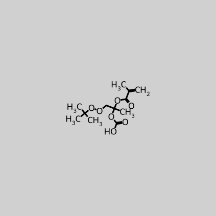 C=C(C)C(=O)OC(C)(COOC(C)(C)C)OC(=O)O